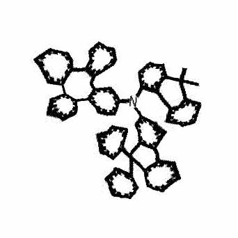 CC1(C)c2ccccc2-c2c(N(c3ccc4c(c3)-c3ccccc3-c3ccccc3-c3ccccc3-4)c3ccc4c(c3)C(c3ccccc3)(c3ccccc3)c3ccccc3-4)cccc21